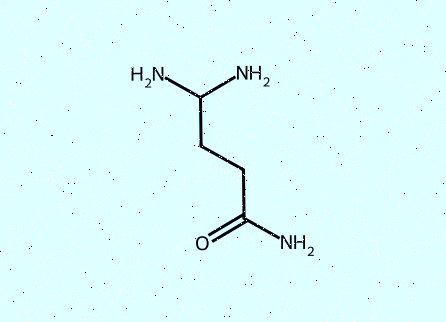 NC(=O)CCC(N)N